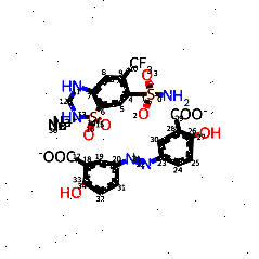 NS(=O)(=O)c1cc2c(cc1C(F)(F)F)NCNS2(=O)=O.O=C([O-])c1cc(/N=N/c2ccc(O)c(C(=O)[O-])c2)ccc1O.[Na+].[Na+]